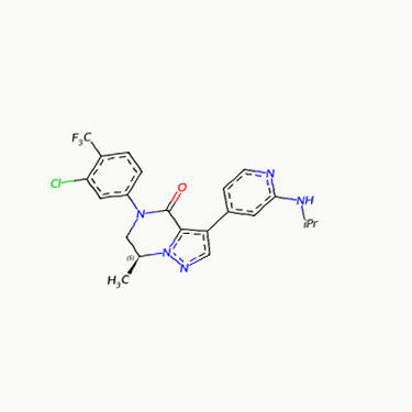 CC(C)Nc1cc(-c2cnn3c2C(=O)N(c2ccc(C(F)(F)F)c(Cl)c2)C[C@@H]3C)ccn1